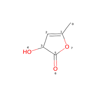 CC1=CC(O)C(=O)O1